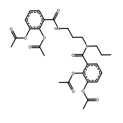 CCCN(CCCNC(=O)c1cccc(OC(C)=O)c1OC(C)=O)C(=O)c1cccc(OC(C)=O)c1OC(C)=O